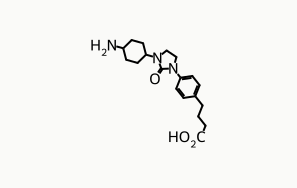 NC1CCC(N2CCN(c3ccc(CCCC(=O)O)cc3)C2=O)CC1